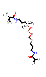 C=C(C)C(=O)NCCCSCOSO[Si](C)(C)CCCNC(=O)C(=C)C